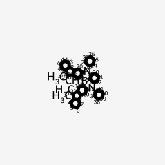 CC1(C)c2ccccc2-c2cc3c(cc21)B1c2cc4c(cc2N(c2ccccc2)c2cccc(c21)N3c1ccccc1)-c1ccccc1C4(C)C